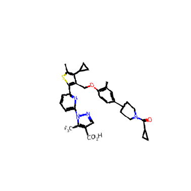 Cc1cc(C2CCN(C(=O)C3CC3)CC2)ccc1OCc1c(-c2cccc(-n3ncc(C(=O)O)c3C(F)(F)F)n2)sc(C)c1C1CC1